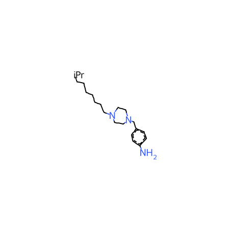 CC(C)CCCCCCCN1CCN(Cc2ccc(N)cc2)CC1